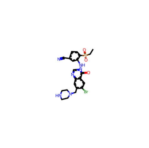 CCS(=O)(=O)c1ccc(C#N)cc1Nn1cnc2cc(CN3CCNCC3)c(Br)cc2c1=O